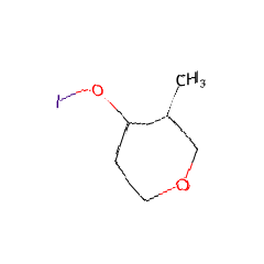 CC1COCCC1OI